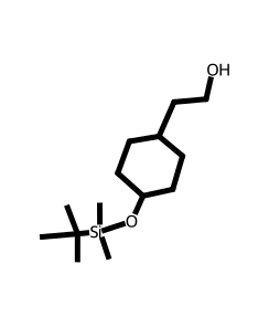 CC(C)(C)[Si](C)(C)OC1CCC(CCO)CC1